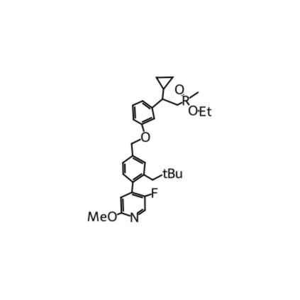 CCOP(C)(=O)CC(c1cccc(OCc2ccc(-c3cc(OC)ncc3F)c(CC(C)(C)C)c2)c1)C1CC1